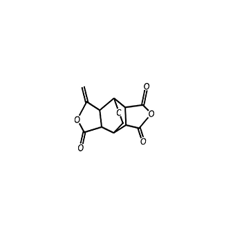 C=C1OC(=O)C2C3CCC(C12)C1C(=O)OC(=O)C31